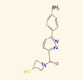 Bc1ccc(-c2ccc(C(=O)N3CC(S)C3)nn2)cc1